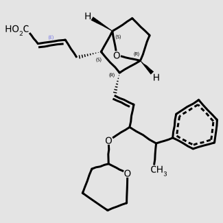 CC(c1ccccc1)C(C=C[C@@H]1[C@H](C/C=C/C(=O)O)[C@@H]2CC[C@H]1O2)OC1CCCCO1